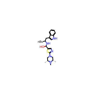 CCCCC(Cc1c[nH]c2ccccc12)NC(O)c1cnc(N2C[C@@H](C)N(C)[C@@H](C)C2)s1